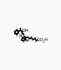 CC(c1ccccc1)C(O)C=C[C@H]1[C@@H](CCCCCCC(=O)O)[C@H]2CC[C@@H]1O2